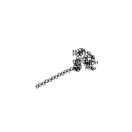 COCCOCCOCCOCCOCCOCCOCCOCCOCCOCCOCCOCCn1cc([C@@H](CC(=O)N[C@H](C(=O)N[C@@H](C)C(=O)Nc2ccc(COC(=O)N(CCOC34CC5(C)CC(C)(CC(Cn6ncc(-c7ccc(N8CCc9cccc(C(=O)Nc%10nc%11ccccc%11s%10)c9C8)nc7C(=O)O)c6C)(C5)C3)C4)CCS(=O)(=O)O)c(CC[C@@H]3O[C@H](C(=O)O)[C@@H](O)[C@H](O)[C@H]3O)c2)C(C)C)N2C(=O)C=CC2=O)nn1